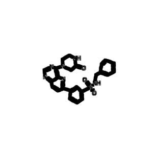 O=C1CN(c2ncnc3ccc(-c4cccc(S(=O)(=O)NCc5ccccc5)c4)nc23)CCN1